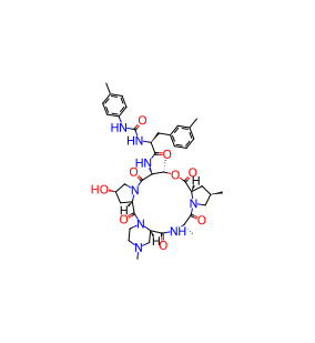 Cc1ccc(NC(=O)N[C@@H](Cc2cccc(C)c2)C(=O)N[C@@H]2C(=O)N3C[C@H](O)C[C@H]3C(=O)N3CCN(C)C[C@H]3C(=O)N[C@@H](C)C(=O)N3C[C@H](C)C[C@H]3C(=O)O[C@H]2C)cc1